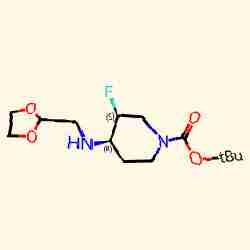 CC(C)(C)OC(=O)N1CC[C@@H](NCC2OCCO2)[C@@H](F)C1